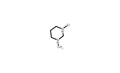 C[SiH]1CCC[SiH](Cl)C1